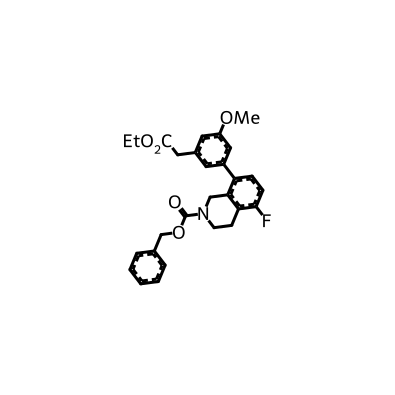 CCOC(=O)Cc1cc(OC)cc(-c2ccc(F)c3c2CN(C(=O)OCc2ccccc2)CC3)c1